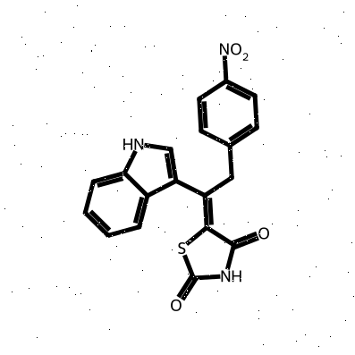 O=C1NC(=O)C(=C(Cc2ccc([N+](=O)[O-])cc2)c2c[nH]c3ccccc23)S1